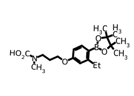 CCc1cc(OCCCN(C)C(=O)O)ccc1B1OC(C)(C)C(C)(C)O1